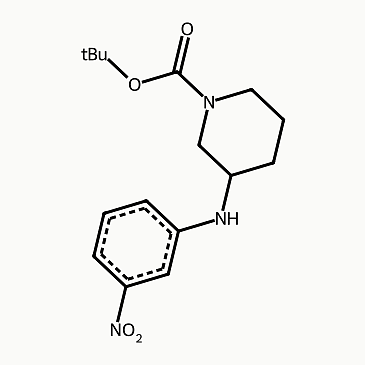 CC(C)(C)OC(=O)N1CCCC(Nc2cccc([N+](=O)[O-])c2)C1